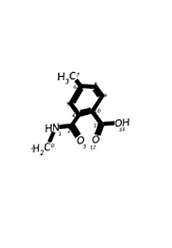 [CH2]NC(=O)c1cc(C)ccc1C(=O)O